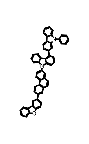 c1ccc(-n2c3ccccc3c3ccc(-c4cccc5c4c4ccccc4n5-c4ccc5c(ccc6cc(-c7ccc8oc9ccccc9c8c7)ccc65)c4)cc32)cc1